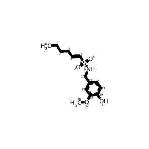 CCCCC=CS(=O)(=O)NCc1ccc(O)c(OC)c1